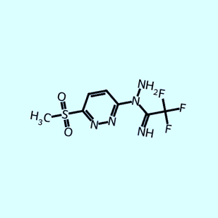 CS(=O)(=O)c1ccc(N(N)C(=N)C(F)(F)F)nn1